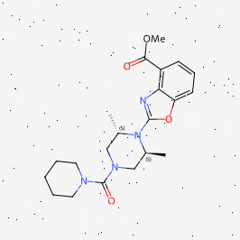 COC(=O)c1cccc2oc(N3[C@@H](C)CN(C(=O)N4CCCCC4)C[C@@H]3C)nc12